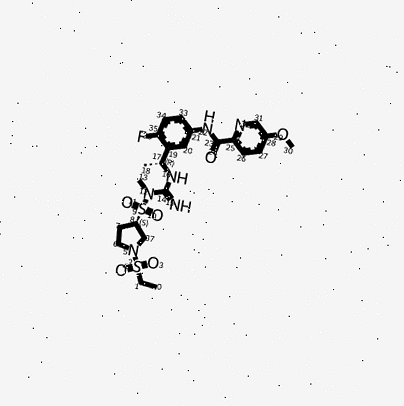 CCS(=O)(=O)N1CC[C@H](S(=O)(=O)N(C)C(=N)N[C@H](C)c2cc(NC(=O)c3ccc(OC)cn3)ccc2F)C1